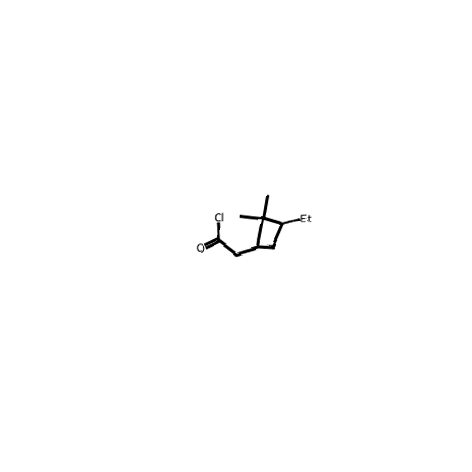 CCC1CC(CC(=O)Cl)C1(C)C